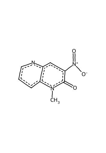 Cn1c(=O)c([N+](=O)[O-])cc2ncccc21